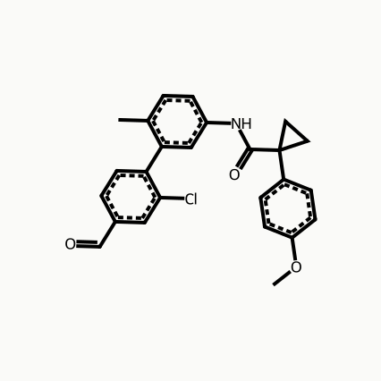 COc1ccc(C2(C(=O)Nc3ccc(C)c(-c4ccc(C=O)cc4Cl)c3)CC2)cc1